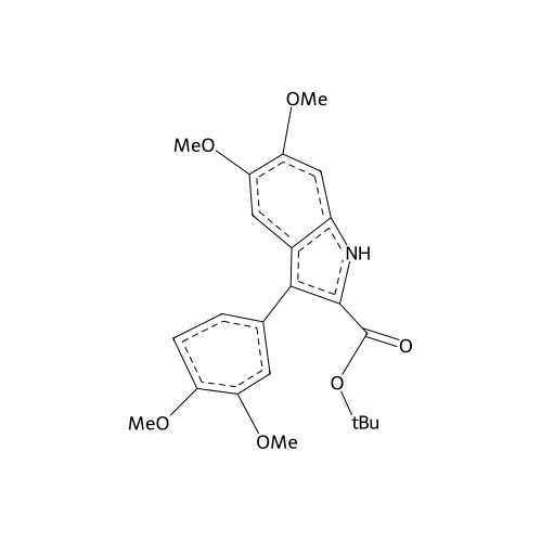 COc1ccc(-c2c(C(=O)OC(C)(C)C)[nH]c3cc(OC)c(OC)cc23)cc1OC